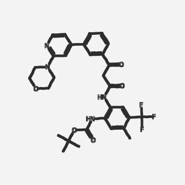 Cc1cc(NC(=O)OC(C)(C)C)c(NC(=O)CC(=O)c2cccc(-c3ccnc(N4CCOCC4)c3)c2)cc1C(F)(F)F